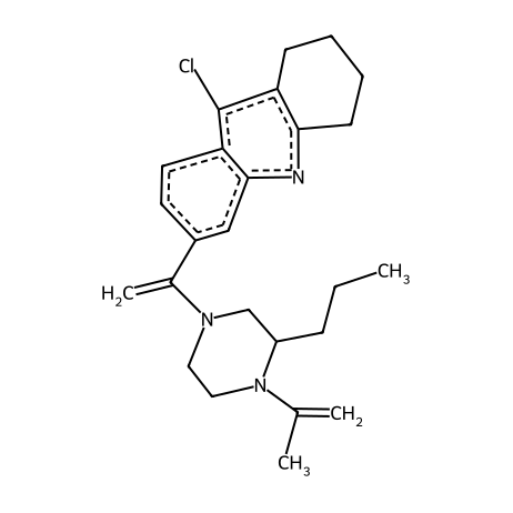 C=C(c1ccc2c(Cl)c3c(nc2c1)CCCC3)N1CCN(C(=C)C)C(CCC)C1